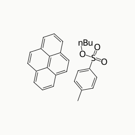 CCCCOS(=O)(=O)c1ccc(C)cc1.c1cc2ccc3cccc4ccc(c1)c2c34